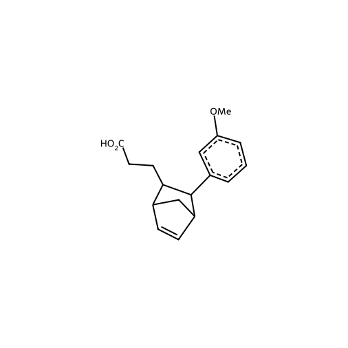 COc1cccc(C2C3C=CC(C3)C2CCC(=O)O)c1